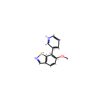 COc1ccc2cnsc2c1-c1cccnc1